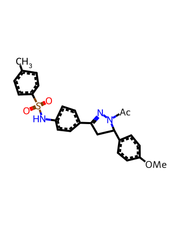 COc1ccc(C2CC(c3ccc(NS(=O)(=O)c4ccc(C)cc4)cc3)=NN2C(C)=O)cc1